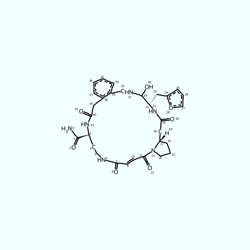 NC(=O)[C@@H]1CCNC(=O)/C=C/C(=O)N2CCC[C@H]2CC(=O)N[C@@H](Cc2ccco2)C(O)NCc2ccccc2CC(=O)N1